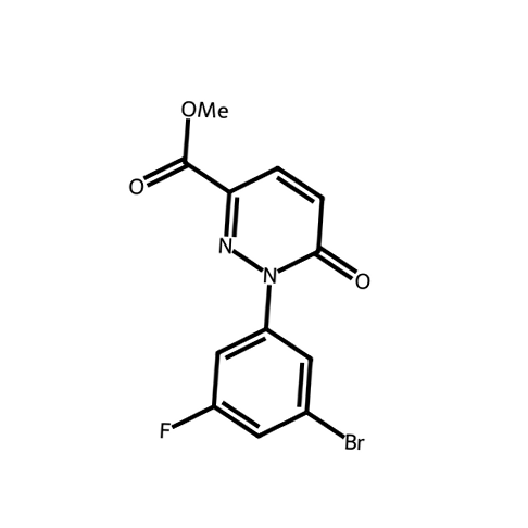 COC(=O)c1ccc(=O)n(-c2cc(F)cc(Br)c2)n1